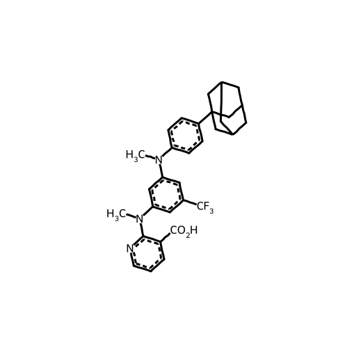 CN(c1ccc(C23CC4CC(CC(C4)C2)C3)cc1)c1cc(N(C)c2ncccc2C(=O)O)cc(C(F)(F)F)c1